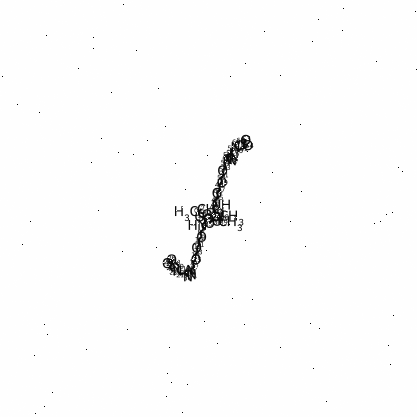 CC(C)OC(CNCCOCCOCCOCCn1cc(CN2CCS(=O)(=O)CC2)nn1)OC1C(=O)OC(C)(C)OC1CNCCOCCOCCOCCn1cc(CN2CCS(=O)(=O)CC2)nn1